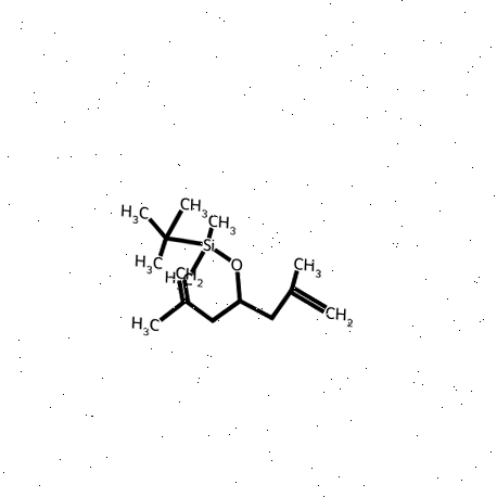 C=C(C)CC(CC(=C)C)O[Si](C)(C)C(C)(C)C